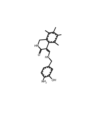 Cc1c(C)c(C)c2c(c1C)CNC(=O)/C2=C\NCc1ccc(N)c(O)c1